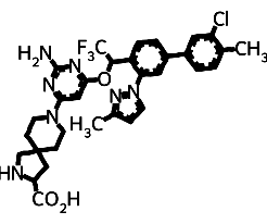 Cc1ccn(-c2cc(-c3ccc(C)c(Cl)c3)ccc2C(Oc2cc(N3CCC4(CC3)CNC(C(=O)O)C4)nc(N)n2)C(F)(F)F)n1